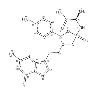 CC(=O)[C@@H](C)NP(=O)(COCCn1cnc2c(=O)[nH]c(N)nc21)OCc1ccc(C)cc1